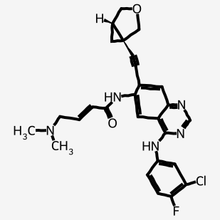 CN(C)CC=CC(=O)Nc1cc2c(Nc3ccc(F)c(Cl)c3)ncnc2cc1C#C[C@]12COC[C@H]1C2